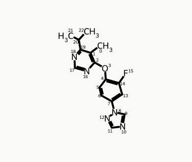 Cc1c(Oc2ccc(-n3cncn3)cc2F)ncnc1C(C)C